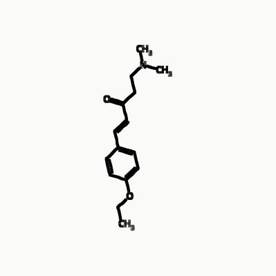 CCOc1ccc(C=CC(=O)CCN(C)C)cc1